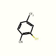 N#Cc1ccc(C(F)(F)F)cc1S